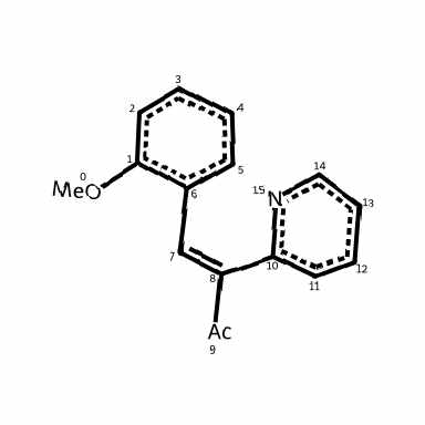 COc1ccccc1C=C(C(C)=O)c1ccccn1